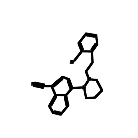 N#Cc1ccc(N2CCCCN2CCc2ccccc2Br)c2ccccc12